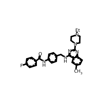 CCN1CCN(c2nc(NCc3ccc(NC(=O)c4ccc(F)cc4)cc3)c3cc(C)ccc3n2)CC1